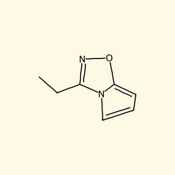 CCc1noc2cccn12